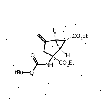 C=C1C[C@@](NC(=O)OC(C)(C)C)(C(=O)OCC)[C@H]2[C@@H]1[C@@H]2C(=O)OCC